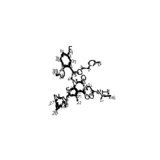 COCCO[C@@H](Cn1c(=O)n(CC(=O)NC(C)C)c(=O)c2c(C)c(-n3nccn3)sc21)c1cc(F)ccc1OC